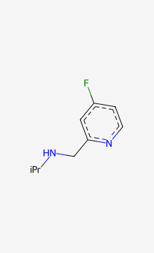 CC(C)NCc1cc(F)ccn1